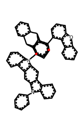 c1ccc(-n2c3ccccc3c3cc4c(cc32)c2ccccc2n4-c2ccc(-c3cccc4oc5ccccc5c34)c3c2C2c4ccccc4C3c3ccccc32)cc1